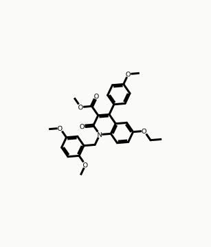 CCOc1ccc2c(c1)c(-c1ccc(OC)cc1)c(C(=O)OC)c(=O)n2Cc1cc(OC)ccc1OC